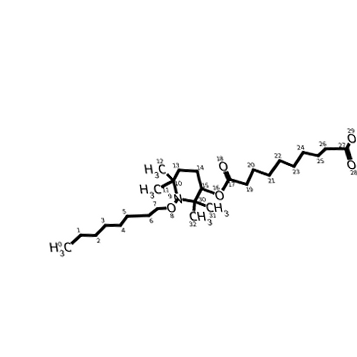 CCCCCCCCON1C(C)(C)CCC(OC(=O)CCCCCCCCC(=O)O)C1(C)C